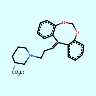 CCOC(=O)[C@@H]1CCCN(CCC=C2c3ccccc3OCOc3ccccc32)C1